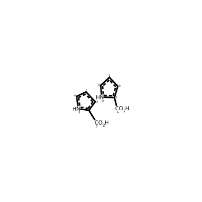 O=C(O)c1ccc[nH]1.O=C(O)c1ccc[nH]1